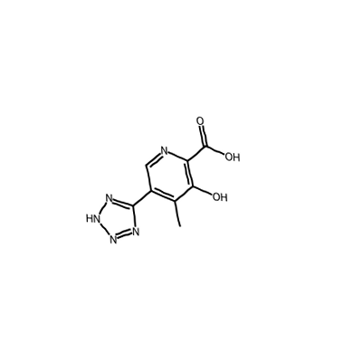 Cc1c(-c2nn[nH]n2)cnc(C(=O)O)c1O